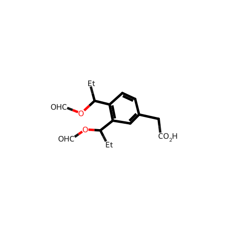 CCC(OC=O)c1ccc(CC(=O)O)cc1C(CC)OC=O